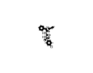 C#Cc1nc(-c2ccccc2)c(NC(=O)NS(=O)(=O)c2ccc(Cl)cc2)s1